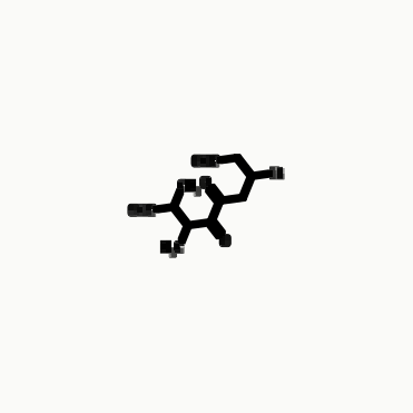 CCC(CC=O)CC(=O)C(=O)C(C)C(C)C=O